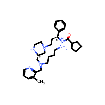 Cc1cccnc1CN(CCCCN)C[C@@H]1CN(CC[C@H](NC(=O)C2CCCC2)c2ccccc2)CCN1